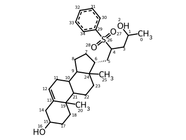 CC(O)CC(C[C@H]1CCC2C3CC=C4CC(O)CCC4(C)C3CCC21C)S(=O)(=O)c1ccccc1